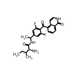 CCC(C)[C@H](N)C(=O)NC(C)c1cc(F)c(C(=O)c2cccc3c(=O)[nH]ccc23)c(F)c1